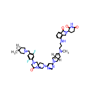 CN(CCCNc1cccc2c1CN(C1CCC(=O)NC1=O)C2=O)[C@@H]1C[C@@H]2CN(c3cc(N4CCC5(CC4)CN(c4cc(F)c(CN6CCC(C)(C)CC6)cc4F)CC(=O)N5)ncn3)C[C@@H]2C1